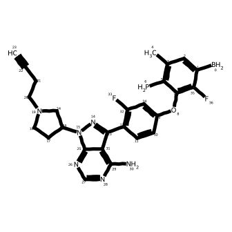 Bc1cc(C)c(P)c(Oc2ccc(-c3nn(C4CCN(CCC#C)C4)c4ncnc(N)c34)c(F)c2)c1F